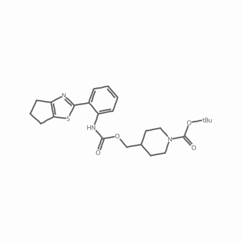 CC(C)(C)OC(=O)N1CCC(COC(=O)Nc2ccccc2-c2nc3c(s2)CCC3)CC1